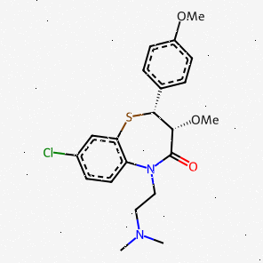 COc1ccc([C@H]2Sc3cc(Cl)ccc3N(CCN(C)C)C(=O)[C@H]2OC)cc1